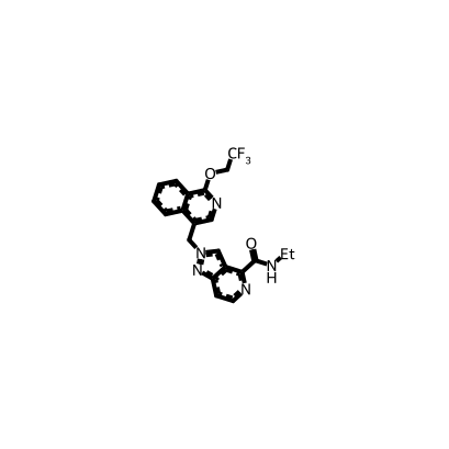 CCNC(=O)c1nccc2nn(Cc3cnc(OCC(F)(F)F)c4ccccc34)cc12